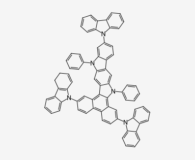 C1=Cc2c(c3ccccc3n2-c2ccc3c4ccc(-n5c6ccccc6c6ccccc65)cc4c4c(c3c2)c2cc3c(cc2n4-c2ccccc2)c2ccc(-n4c5ccccc5c5ccccc54)cc2n3-c2ccccc2)CC1